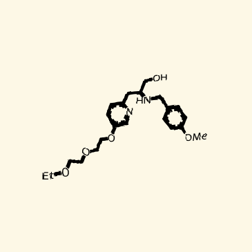 CCOCCOCCOc1ccc(CC(CO)NCc2ccc(OC)cc2)nc1